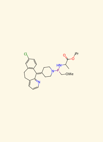 COCP(NC(C)C(=O)OC(C)C)N1CCC(=C2c3ccc(Cl)cc3CCc3cccnc32)CC1